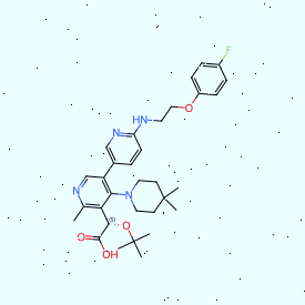 Cc1ncc(-c2ccc(NCCOc3ccc(F)cc3)nc2)c(N2CCC(C)(C)CC2)c1[C@H](OC(C)(C)C)C(=O)O